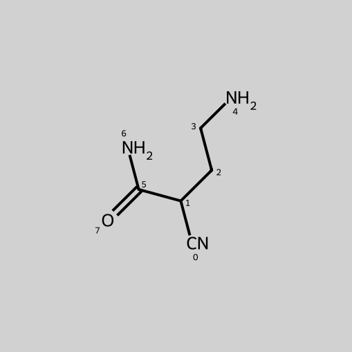 N#CC(CCN)C(N)=O